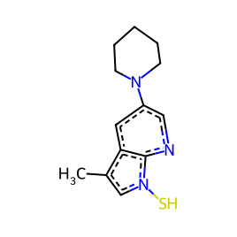 Cc1cn(S)c2ncc(N3CCCCC3)cc12